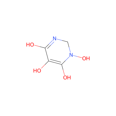 OC1=NCN(O)C(O)=C1O